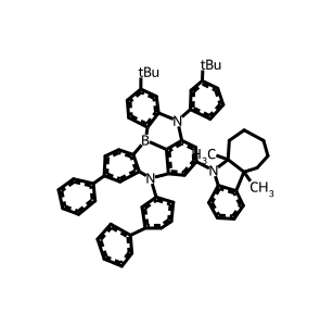 CC(C)(C)c1cccc(N2c3cc(C(C)(C)C)ccc3B3c4ccc(-c5ccccc5)cc4N(c4cccc(-c5ccccc5)c4)c4cc(N5c6ccccc6C6(C)CCCCCC56C)cc2c43)c1